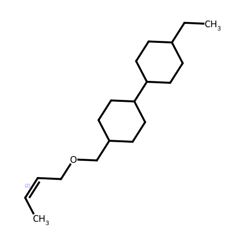 C/C=C\COCC1CCC(C2CCC(CC)CC2)CC1